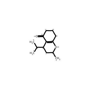 CC1CC(C(C)C)C2=C(CCCC2=O)O1